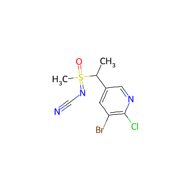 CC(c1cnc(Cl)c(Br)c1)S(C)(=O)=NC#N